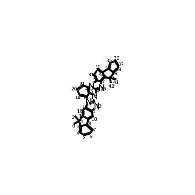 CC1(C)c2ccccc2-c2cc3nc4n(c3cc21)c1cccc2c1n4c1nc3c4c(ccc3n21)-c1ccccc1C4(C)C